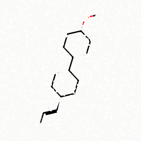 CC/C=C/[C@H]1CC[C@H]([C@H]2CC[C@H](OCC)CC2)CC1